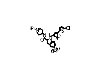 CC(C)N1CCC(NC(=O)C2Cc3cc(S(C)(=O)=O)ccc3N2Cc2cc(-c3ccc(Cl)s3)on2)CC1